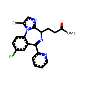 CCc1cnc2n1-c1ccc(Br)cc1C(c1ccccn1)=NC2CCC(=O)OC